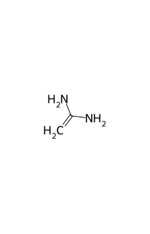 C=C(N)N